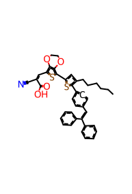 CCCCCCc1cc(-c2sc(/C=C(/C#N)C(=O)O)c3c2OCCO3)sc1-c1ccc(C=C(c2ccccc2)c2ccccc2)cc1